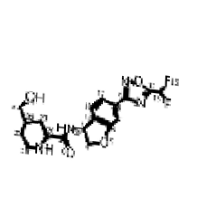 O=C(N[C@@H]1COc2cc(-c3noc(C(F)F)n3)ccc21)C1CC(CO)CCN1